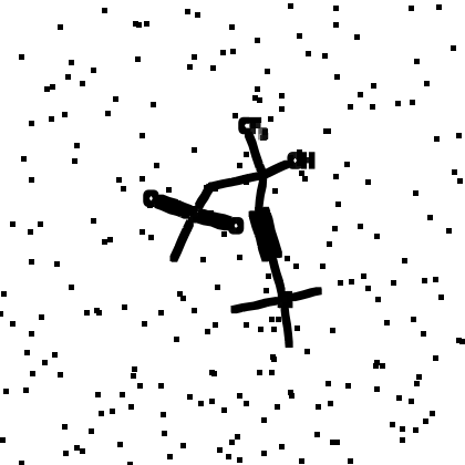 C[Si](C)(C)C#CC(O)(CS(C)(=O)=O)C(F)(F)F